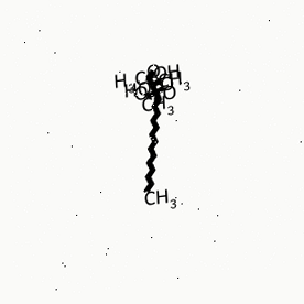 CCCCCCCCCCCCCCCC(C(C)=O)(C(C)=O)C(O)(C(C)=O)C(=O)O